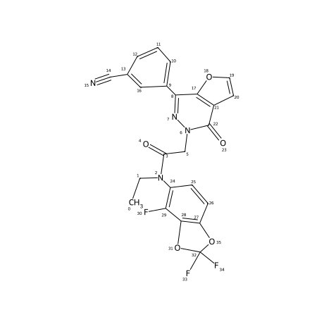 CCN(C(=O)Cn1nc(-c2cccc(C#N)c2)c2occc2c1=O)c1ccc2c(c1F)OC(F)(F)O2